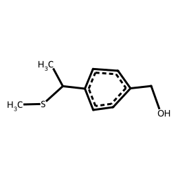 CSC(C)c1ccc(CO)cc1